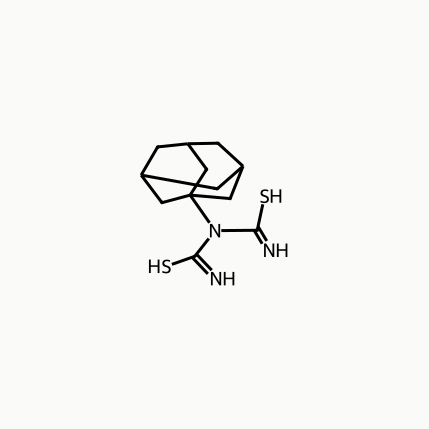 N=C(S)N(C(=N)S)C12CC3CC(CC(C3)C1)C2